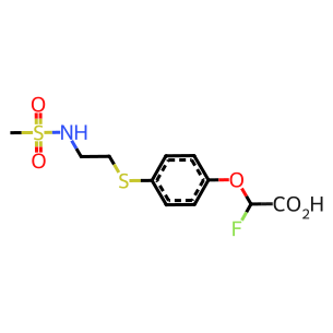 CS(=O)(=O)NCCSc1ccc(OC(F)C(=O)O)cc1